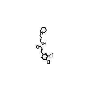 O=C(/C=C/c1ccc(Cl)c(Cl)c1)NCCCN1CCCCC1